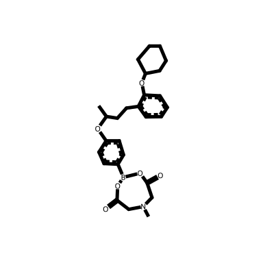 CC(CCc1ccccc1OC1CCCCC1)Oc1ccc(B2OC(=O)CN(C)CC(=O)O2)cc1